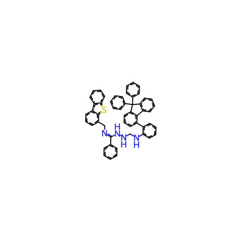 c1ccc(/C(=N/Cc2cccc3c2sc2ccccc23)NNCNc2ccccc2-c2cccc3c2-c2ccccc2C3(c2ccccc2)c2ccccc2)cc1